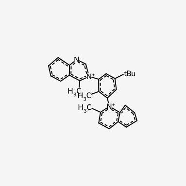 Cc1c(-[n+]2cnc3ccccc3c2C)cc(C(C)(C)C)cc1-[n+]1c(C)ccc2ccccc21